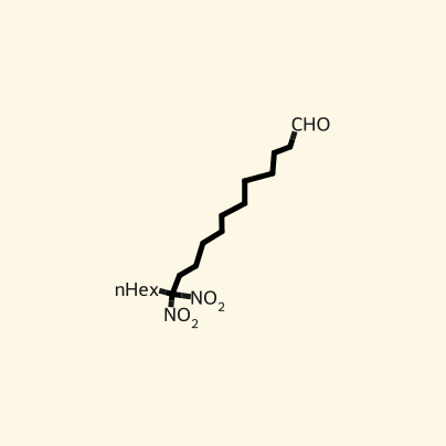 CCCCCCC(CCCCCCCCCCC=O)([N+](=O)[O-])[N+](=O)[O-]